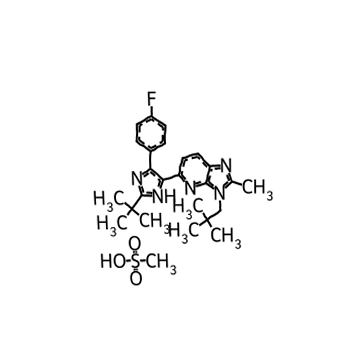 CS(=O)(=O)O.Cc1nc2ccc(-c3[nH]c(C(C)(C)C)nc3-c3ccc(F)cc3)nc2n1CC(C)(C)C